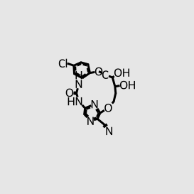 N#Cc1ncc2nc1OCCC(O)C(O)COc1ccc(Cl)cc1NC(=O)N2